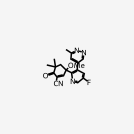 COC1(c2ncc(F)cc2-c2cnnc(C)c2)C=C(C#N)C(=O)C(C)(C)C1